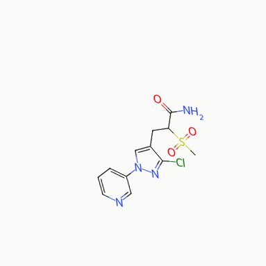 CS(=O)(=O)C(Cc1cn(-c2cccnc2)nc1Cl)C(N)=O